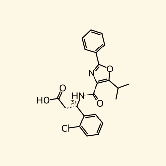 CC(C)c1oc(-c2ccccc2)nc1C(=O)N[C@@H](CC(=O)O)c1ccccc1Cl